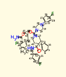 C[C@H](NC(=O)C1(c2ccccc2)CCN(C(=O)N2CCN(c3ccc(F)cc3)CC2)C([C@H](c2cccc(F)c2C(N)=O)C2CC2)C1)c1ccc(F)cc1